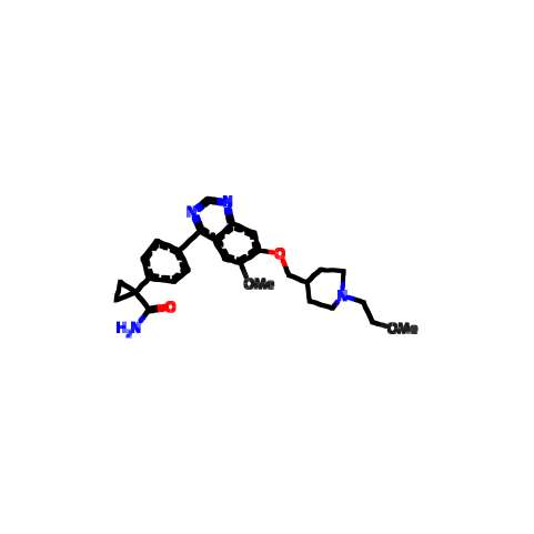 COCCN1CCC(COc2cc3ncnc(-c4ccc(C5(C(N)=O)CC5)cc4)c3cc2OC)CC1